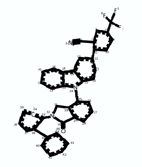 N#Cc1cc(C(F)(F)F)ccc1-c1ccc2c(c1)c1ccccc1n2-c1cccc2c1CN(c1ccccc1-c1ccccc1)C2=O